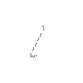 CCOC(=O)CCCCCCCCCCCCCCCN=[N+]=[N-]